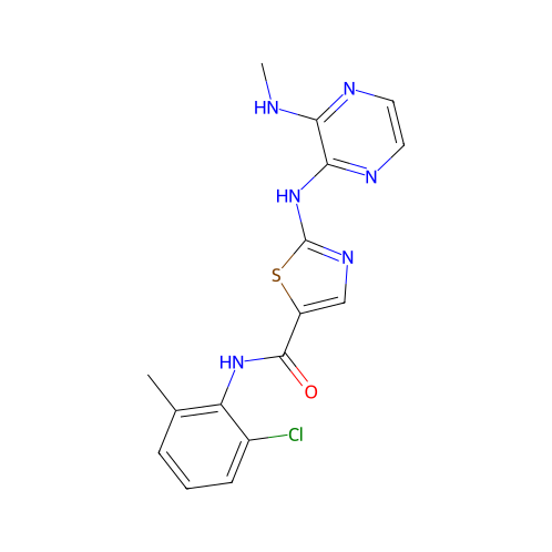 CNc1nccnc1Nc1ncc(C(=O)Nc2c(C)cccc2Cl)s1